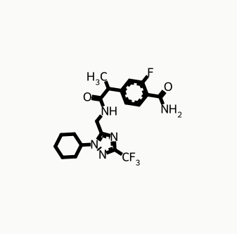 CC(C(=O)NCc1nc(C(F)(F)F)nn1C1CCCCC1)c1ccc(C(N)=O)c(F)c1